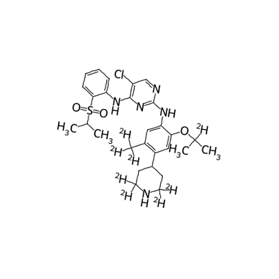 [2H]C1([2H])CC(c2cc(OC([2H])(C)C)c(Nc3ncc(Cl)c(Nc4ccccc4S(=O)(=O)C(C)C)n3)cc2C([2H])([2H])[2H])CC([2H])([2H])N1